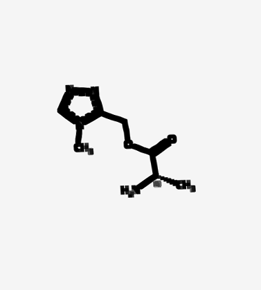 C[C@H](N)C(=O)OCc1nncn1C